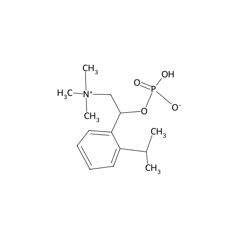 CC(C)c1ccccc1C(C[N+](C)(C)C)OP(=O)([O-])O